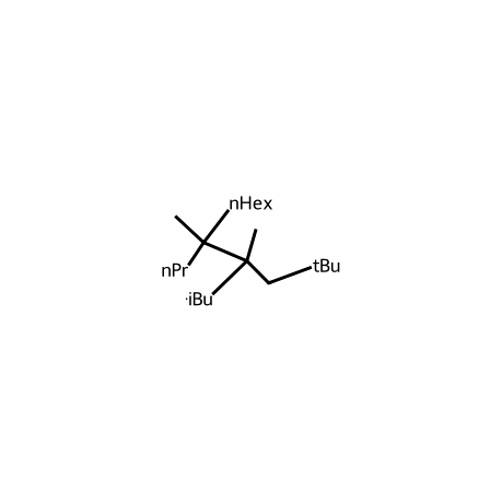 CCCCCCC(C)(CCC)C(C)(CC(C)(C)C)[C](C)CC